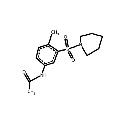 CC(=O)Nc1ccc(C)c(S(=O)(=O)N2CCCCC2)c1